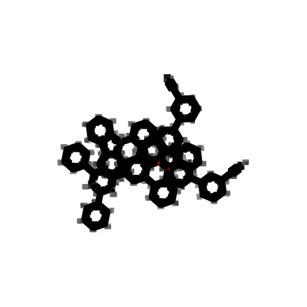 N#Cc1cccc(-c2ccc3c(c2)c2cc(-c4cccc(C#N)c4)ccc2n3-c2c(-c3ccccc3-n3c4ccccc4c4ccccc43)cc(-c3nc(-c4ccccc4)nc(-c4ccccc4)n3)cc2-c2ccccc2-n2c3ccccc3c3ccccc32)c1